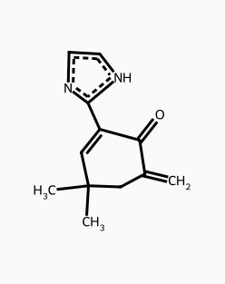 C=C1CC(C)(C)C=C(c2ncc[nH]2)C1=O